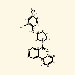 O=C(c1ccccc1-c1ncccn1)N1CCC[C@@H](Oc2ncc(C(F)(F)F)cc2F)C1